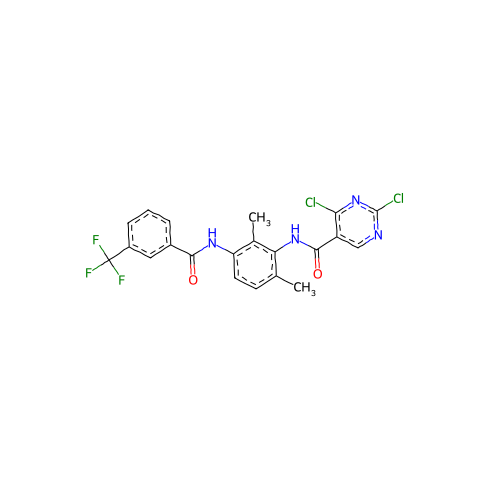 Cc1ccc(NC(=O)c2cccc(C(F)(F)F)c2)c(C)c1NC(=O)c1cnc(Cl)nc1Cl